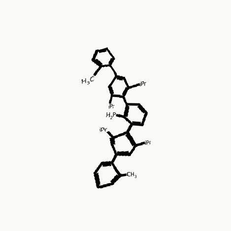 Cc1ccccc1-c1cc(C(C)C)c(-c2cccc(-c3c(C(C)C)cc(-c4ccccc4C)cc3C(C)C)c2P)c(C(C)C)c1